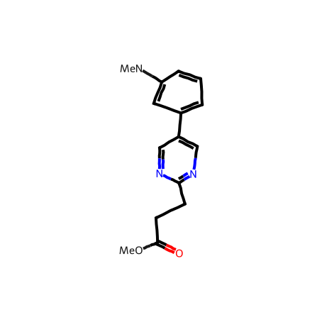 CNc1cccc(-c2cnc(CCC(=O)OC)nc2)c1